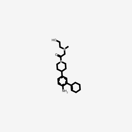 CN(CCO)CC(=O)N1CCC(c2ccc(N)c(C3=CCCCC3)c2)CC1